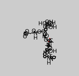 Cc1c(-c2ccc(N3CCc4cccc(C(=O)Nc5nc6ccccc6s5)c4C3)nc2C(=O)O)cnn1CC12CC3(C)CC(C)(C1)CC(OCCN(C)C(=O)OCc1ccc(O[C@@H]4O[C@H](C(=O)O)[C@@H](O)[C@H](O)[C@H]4O)cc1OCCOCCNC(=O)CCCCCN1C(=O)C=CC1=O)(C3)C2